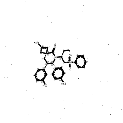 CC[C@@H](CS(=O)(=O)c1ccccc1)N1C(=O)[C@]2(C=C(O)C2)C[C@H](c2cccc(Cl)c2)[C@H]1c1ccc(Cl)cc1